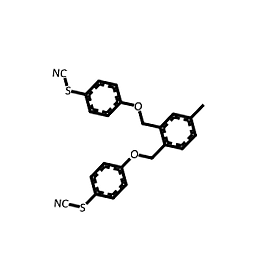 Cc1ccc(COc2ccc(SC#N)cc2)c(COc2ccc(SC#N)cc2)c1